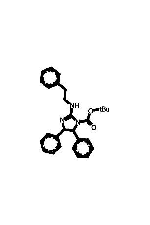 CC(C)(C)OC(=O)N1C(NCCc2ccccc2)=NC(c2ccccc2)C1c1ccccc1